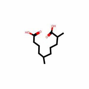 CC(CCCC(=O)O)CCCC(C)C(=O)O